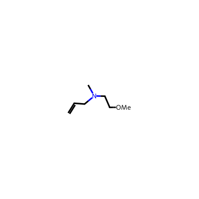 C=CCN(C)CCOC